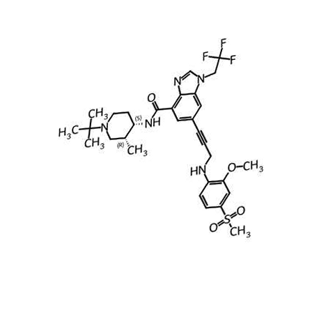 COc1cc(S(C)(=O)=O)ccc1NCC#Cc1cc(C(=O)N[C@H]2CCN(C(C)(C)C)C[C@H]2C)c2ncn(CC(F)(F)F)c2c1